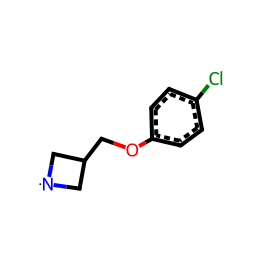 Clc1ccc(OCC2C[N]C2)cc1